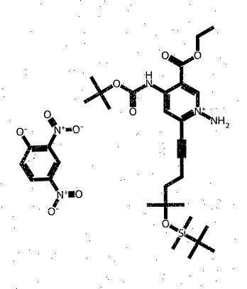 CCOC(=O)c1c[n+](N)c(C#CCCC(C)(C)O[Si](C)(C)C(C)(C)C)cc1NC(=O)OC(C)(C)C.O=[N+]([O-])c1ccc([O-])c([N+](=O)[O-])c1